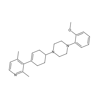 COc1ccccc1N1CCN(C2CC=C(c3c(C)ccnc3C)CC2)CC1